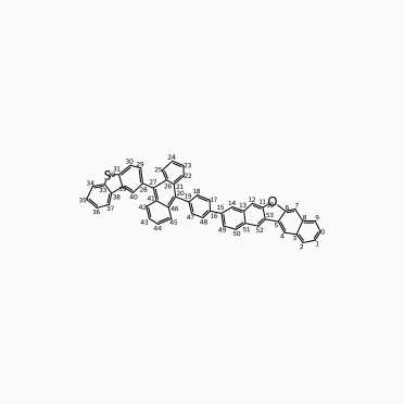 c1ccc2cc3c(cc2c1)oc1cc2cc(-c4ccc(-c5c6ccccc6c(-c6ccc7sc8ccccc8c7c6)c6ccccc56)cc4)ccc2cc13